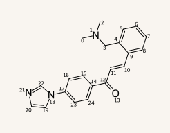 CN(C)Cc1ccccc1/C=C/C(=O)c1ccc(-n2ccnc2)cc1